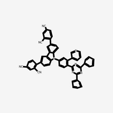 N#Cc1ccc(-c2ccc3c(c2)c2cc(-c4ccc(C#N)cc4C#N)ccc2n3-c2ccc(-c3nc(-c4ccccc4)nc(-c4ccccc4)n3)c(-c3cccnc3)c2)c(C#N)c1